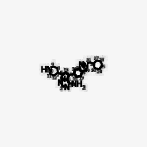 Nc1ncnn2c(C3CCNCC3)cc(-c3ccc4cn(CC5CCCCC5)nc4c3)c12